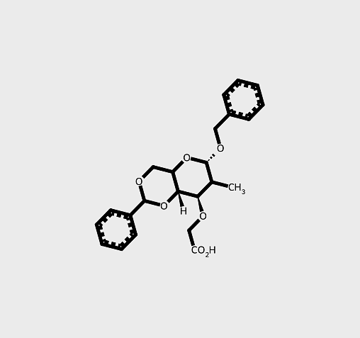 CC1[C@@H](OCc2ccccc2)OC2COC(c3ccccc3)O[C@H]2[C@@H]1OCC(=O)O